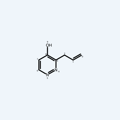 C=CCc1nnccc1O